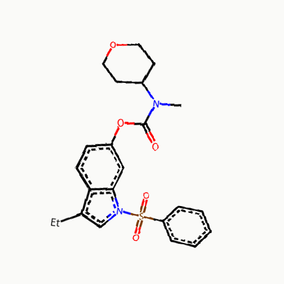 CCc1cn(S(=O)(=O)c2ccccc2)c2cc(OC(=O)N(C)C3CCOCC3)ccc12